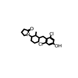 CC1C(Cc2c(Cl)cc(O)cc2Cl)CCCC1N1CCCC1=O